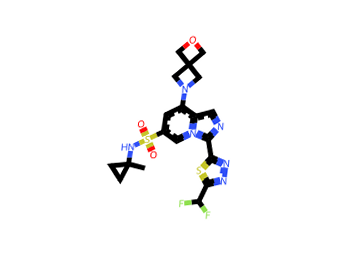 CC1(NS(=O)(=O)c2cc(N3CC4(COC4)C3)c3cnc(-c4nnc(C(F)F)s4)n3c2)CC1